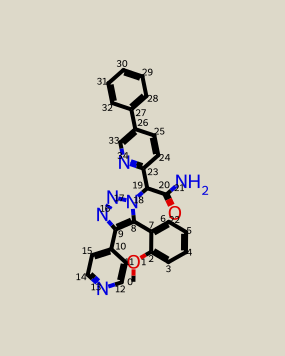 COc1ccccc1-c1c(-c2ccncc2)nnn1C(C(N)=O)c1ccc(-c2ccccc2)cn1